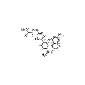 COC(=O)CCC(NC(=O)c1ccc(N(C)Cc2cnc3nc(N)nc(N)c3n2)cc1)C(=O)OC